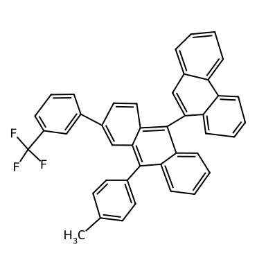 Cc1ccc(-c2c3ccccc3c(-c3cc4ccccc4c4ccccc34)c3ccc(-c4cccc(C(F)(F)F)c4)cc23)cc1